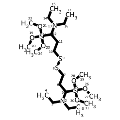 CCN(CC)C(CCSSCCC(N(CC)CC)[Si](OC)(OC)OC)[Si](OC)(OC)OC